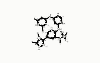 Cc1cc(Nc2cc(Nc3ncc(-c4nnc(C)n4C)cc3N(C)S(C)(=O)=O)ncn2)nc(C)n1